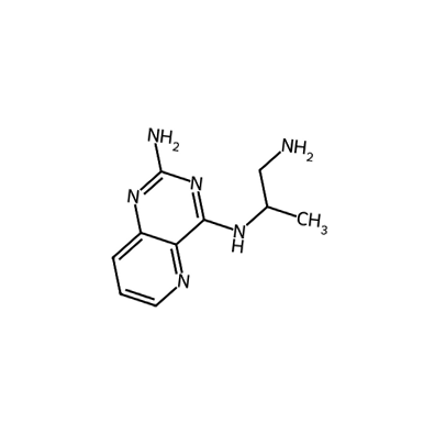 CC(CN)Nc1nc(N)nc2cccnc12